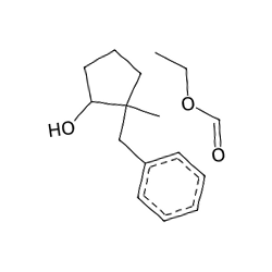 CC1(Cc2ccccc2)CCCC1O.CCOC=O